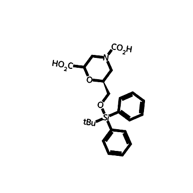 CC(C)(C)[Si](OC[C@@H]1CN(C(=O)O)CC(C(=O)O)O1)(c1ccccc1)c1ccccc1